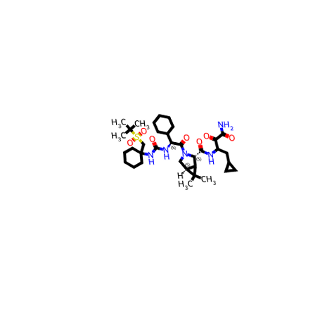 CC1(C)C2[C@@H](C(=O)NC(CC3CC3)C(=O)C(N)=O)N(C(=O)[C@@H](NC(=O)NC3(CS(=O)(=O)C(C)(C)C)CCCCC3)C3CCCCC3)C[C@@H]21